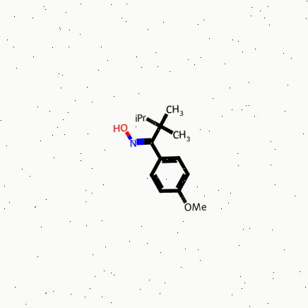 COc1ccc(C(=NO)C(C)(C)C(C)C)cc1